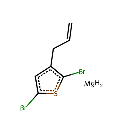 C=CCc1cc(Br)sc1Br.[MgH2]